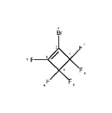 FC1=C(Br)C(F)(F)C1(F)F